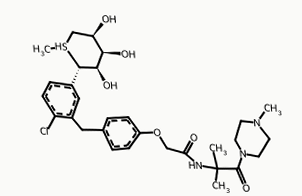 CN1CCN(C(=O)C(C)(C)NC(=O)COc2ccc(Cc3cc([C@H]4[C@H](O)[C@H](O)[C@H](O)C[SH]4C)ccc3Cl)cc2)CC1